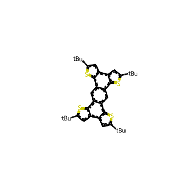 CC(C)(C)c1cc2c3cc(C(C)(C)C)sc3c3cc4c(cc3c2s1)c1sc(C(C)(C)C)cc1c1cc(C(C)(C)C)sc14